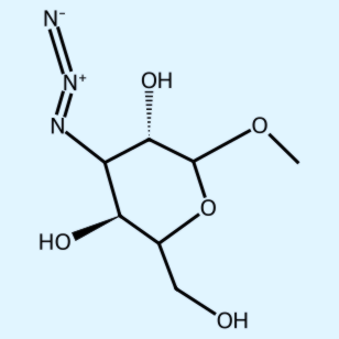 COC1OC(CO)[C@@H](O)C(N=[N+]=[N-])[C@@H]1O